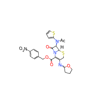 CC(=O)N(c1cccs1)[C@@H]1C(=O)N2C(C(=O)OCc3ccc([N+](=O)[O-])cc3)=C(/N=C3/CCCO3)CS[C@H]12